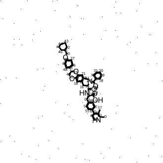 Cc1nccc(-c2ccc(CC(NC(=O)[C@@H]3Cc4cc5c(cc4CN3C(=O)c3ccccc3)O[C@@H](c3ccc(OCC4CCCCC4)cc3)CO5)C(=O)O)cc2)c1C